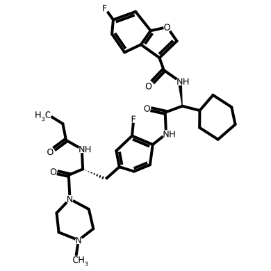 CCC(=O)N[C@H](Cc1ccc(NC(=O)[C@@H](NC(=O)c2coc3cc(F)ccc23)C2CCCCC2)c(F)c1)C(=O)N1CCN(C)CC1